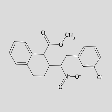 COC(=O)C1c2ccccc2CCC1C(Cc1cccc(Cl)c1)[N+](=O)[O-]